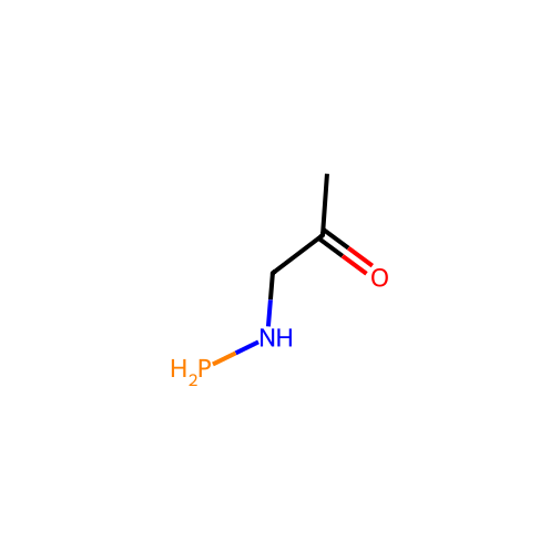 CC(=O)CNP